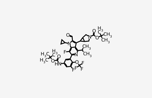 CC(C)c1nc(-c2cc(NC(=O)OC(C)(C)C)cc(F)c2OC(F)(F)F)c(F)c2c1c(C1C3CN(C(=O)OC(C)(C)C)CC31)c(C=O)n2C1CC1